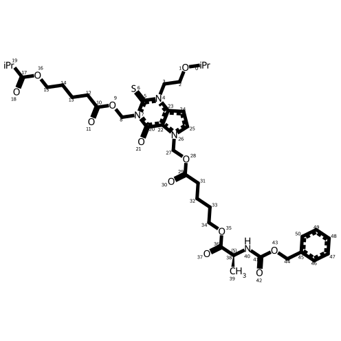 CC(C)OCCn1c(=S)n(COC(=O)CCCCOC(=O)C(C)C)c(=O)c2c1ccn2COC(=O)CCCCOC(=O)[C@H](C)NC(=O)OCc1ccccc1